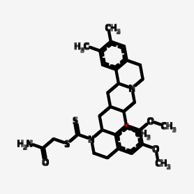 CCC1CN2CCc3cc(C)c(C)cc3C2CC1CC1c2cc(OC)c(OC)cc2CCN1C(=S)SCC(N)=O